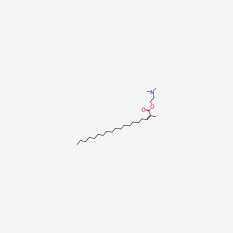 CCCCCCCCCCCCCCCCC=C(C)C(=O)OCCN(C)C